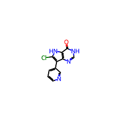 O=c1[nH]cnc2c(-c3cccnc3)c(Cl)[nH]c12